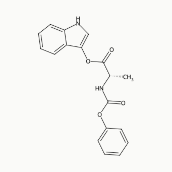 C[C@H](NC(=O)Oc1ccccc1)C(=O)Oc1c[nH]c2ccccc12